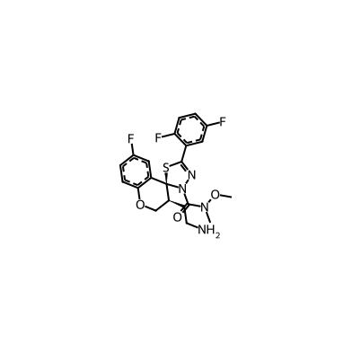 CON(C)C(=O)N1N=C(c2cc(F)ccc2F)S[C@@]12c1cc(F)ccc1OC[C@@H]2CCN